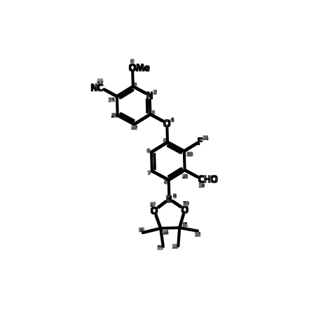 COc1nc(Oc2ccc(B3OC(C)(C)C(C)(C)O3)c(C=O)c2F)ccc1C#N